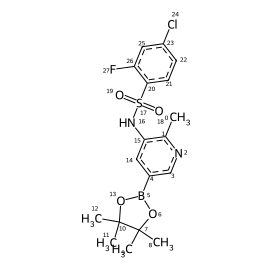 Cc1ncc(B2OC(C)(C)C(C)(C)O2)cc1NS(=O)(=O)c1ccc(Cl)cc1F